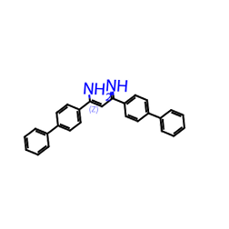 N=C(/C=C(\N)c1ccc(-c2ccccc2)cc1)c1ccc(-c2ccccc2)cc1